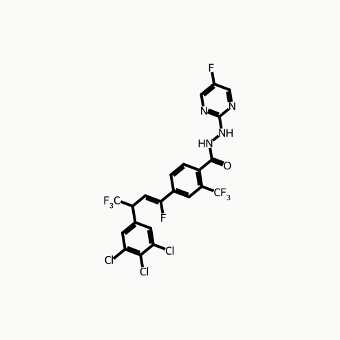 O=C(NNc1ncc(F)cn1)c1ccc(C(F)=CC(c2cc(Cl)c(Cl)c(Cl)c2)C(F)(F)F)cc1C(F)(F)F